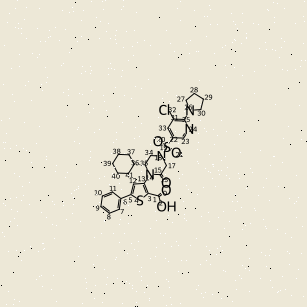 O=C(O)c1sc(-c2ccccc2)cc1N1C(=O)CN(S(=O)(=O)c2cnc(N3CCCC3)c(Cl)c2)C[C@H]1C1CCCCC1